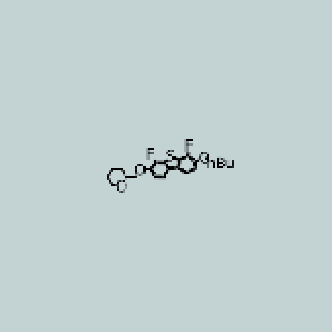 CCCCOc1ccc2c(sc3c(F)c(OCC4CCCCO4)ccc32)c1F